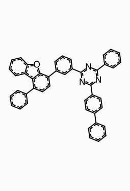 c1ccc(-c2ccc(-c3nc(-c4ccccc4)nc(-c4cccc(-c5ccc(-c6ccccc6)c6c5oc5ccccc56)c4)n3)cc2)cc1